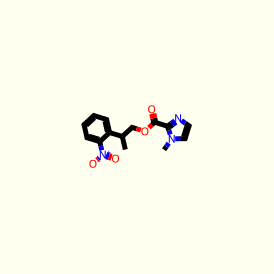 CC(COC(=O)c1nccn1C)c1ccccc1[N+](=O)[O-]